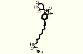 Cn1c(=O)n(C2CCC(=O)NC2=O)c2ccc(C#CCCCCCCCNC(=O)OC(C)(C)C)cc21